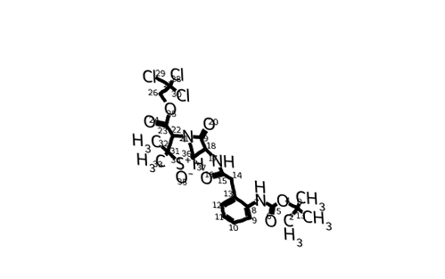 CC(C)(C)OC(=O)Nc1ccccc1CC(=O)NC1C(=O)N2C(C(=O)OCC(Cl)(Cl)Cl)C(C)(C)[S+]([O-])[C@H]12